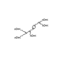 CCCCCCCCCCCCCCN(CCCCCCCCCCCCCC)CCN(CCCCCCCCCCCC)CCN1CCN(CCCN(CCCCCCCCCCCC)CCCCCCCCCCCC)CC1